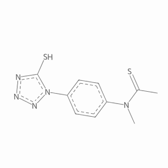 CC(=S)N(C)c1ccc(-n2nnnc2S)cc1